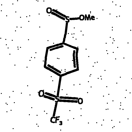 COS(=O)c1ccc(S(=O)(=O)C(F)(F)F)cc1